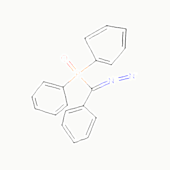 [N-]=[N+]=C(c1ccccc1)P(=O)(c1ccccc1)c1ccccc1